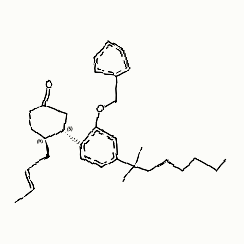 CC=CC[C@H]1CCC(=O)C[C@@H]1c1ccc(C(C)(C)CCCCCC)cc1OCc1ccccc1